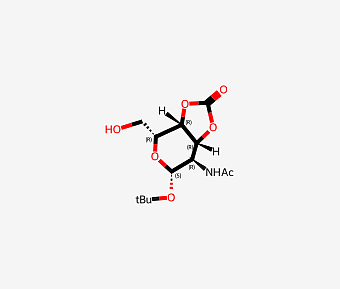 CC(=O)N[C@H]1[C@H](OC(C)(C)C)O[C@H](CO)[C@@H]2OC(=O)O[C@H]12